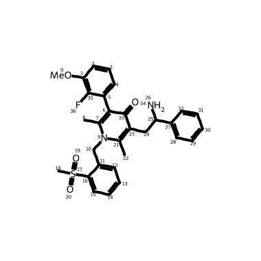 COc1cccc(-c2c(C)n(Cc3ccccc3S(C)(=O)=O)c(C)c(CC(N)c3ccccc3)c2=O)c1F